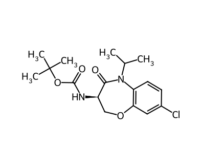 CC(C)N1C(=O)[C@H](NC(=O)OC(C)(C)C)COc2cc(Cl)ccc21